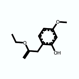 C=C(Cc1ccc(OC)cc1O)OCC